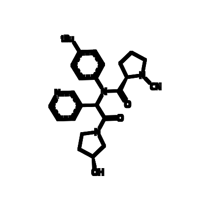 CC(C)(C)c1ccc(N(C(=O)[C@H]2CCCN2C#N)C(C(=O)N2CC[C@H](O)C2)c2cccnc2)cc1